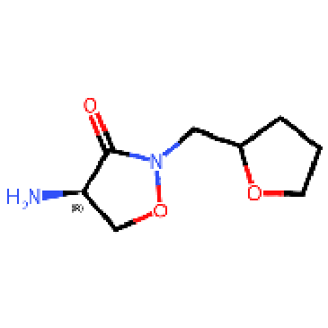 N[C@@H]1CON(CC2CCCO2)C1=O